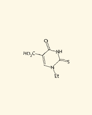 CCn1cc(C(=O)O)c(=O)[nH]c1=S